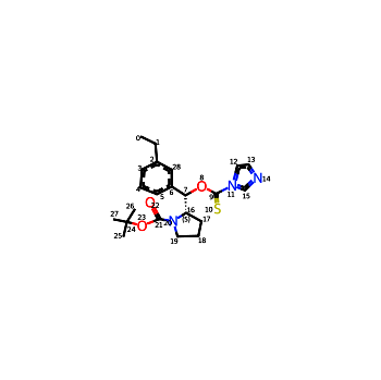 CCc1cccc(C(OC(=S)n2ccnc2)[C@@H]2CCCN2C(=O)OC(C)(C)C)c1